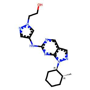 C[C@@H]1CCCC[C@H]1n1ncc2cnc(Nc3cnn(CCO)c3)nc21